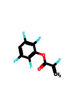 C=C(F)C(=O)Oc1c(F)c(F)cc(F)c1F